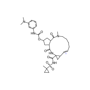 CN1CCCC/C=C/C2CC2(C(=O)NS(=O)(=O)C2(C)CC2)NC(=O)C2CC(OC(=O)Nc3cccc(N(C)C)c3)CC2C1=O